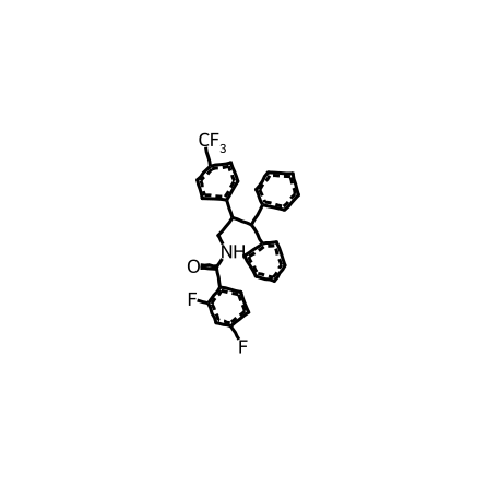 O=C(NCC(c1ccc(C(F)(F)F)cc1)C(c1ccccc1)c1ccccc1)c1ccc(F)cc1F